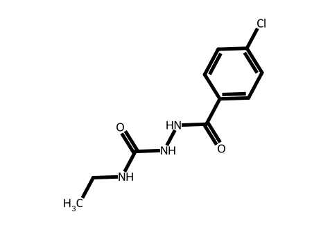 CCNC(=O)NNC(=O)c1ccc(Cl)cc1